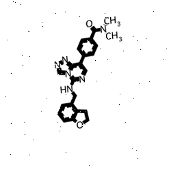 CN(C)C(=O)c1ccc(-c2cnc(NCc3cccc4c3CCO4)n3cnnc23)cc1